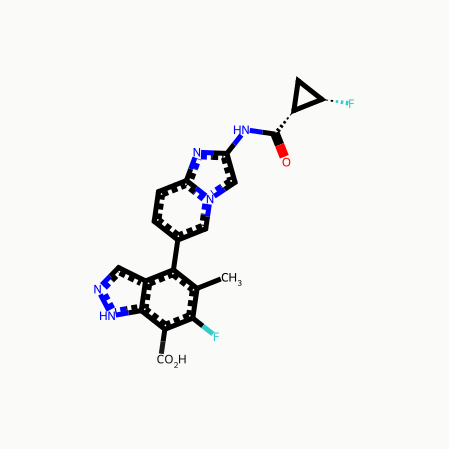 Cc1c(F)c(C(=O)O)c2[nH]ncc2c1-c1ccc2nc(NC(=O)[C@@H]3C[C@@H]3F)cn2c1